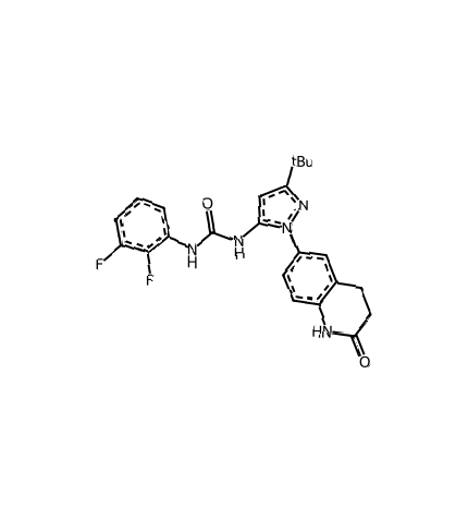 CC(C)(C)c1cc(NC(=O)Nc2cccc(F)c2F)n(-c2ccc3c(c2)CCC(=O)N3)n1